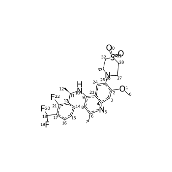 COc1cc2nc(C)cc(N[C@H](C)c3cccc(C(F)F)c3F)c2cc1N1CCS(=O)(=O)CC1